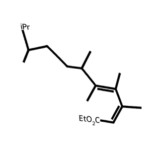 CCOC(=O)C=C(C)C(C)=C(C)C(C)CCC(C)C(C)C